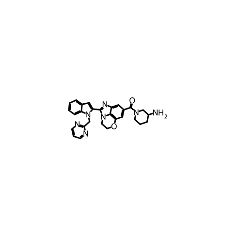 NC1CCCN(C(=O)c2cc3c4c(c2)nc(-c2cc5ccccc5n2Cc2ncccn2)n4CCO3)C1